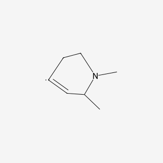 CC1C=[C]CCN1C